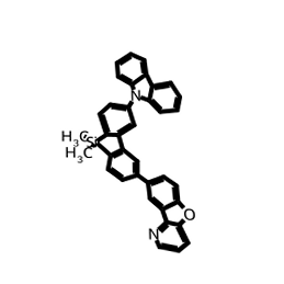 C[Si]1(C)c2ccc(-c3ccc4oc5cccnc5c4c3)cc2-c2cc(-n3c4ccccc4c4ccccc43)ccc21